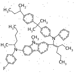 CCCCC(C)N(c1ccc(F)cc1)c1ccc2c3ccc(/C(=C(/CC)CCC)N(c4ccccc4)c4ccc(C(C)(C)c5ccc(C(C)CC)cc5)cc4)cc3n(C)c2c1